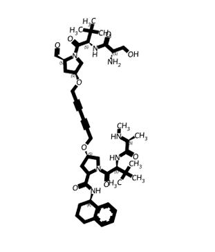 CN[C@@H](C)C(=O)N[C@H](C(=O)N1C[C@@H](OCC#CC#CCO[C@H]2C[C@@H](C=O)N(C(=O)[C@@H](NC(=O)[C@@H](N)CO)C(C)(C)C)C2)CC1C(=O)N[C@@H]1CCCc2ccccc21)C(C)(C)C